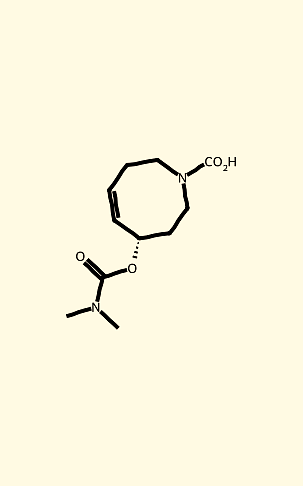 CN(C)C(=O)O[C@@H]1C=CCCN(C(=O)O)CC1